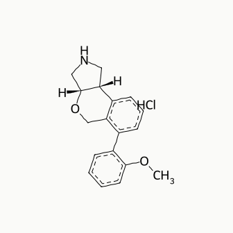 COc1ccccc1-c1cccc2c1CO[C@@H]1CNC[C@H]21.Cl